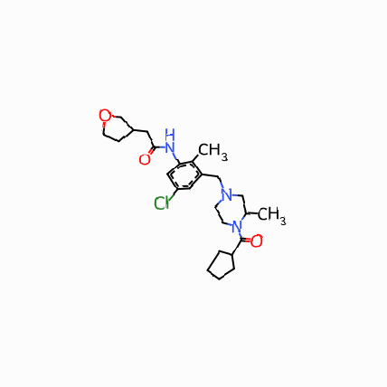 Cc1c(CN2CCN(C(=O)C3CCCC3)C(C)C2)cc(Cl)cc1NC(=O)CC1CCOC1